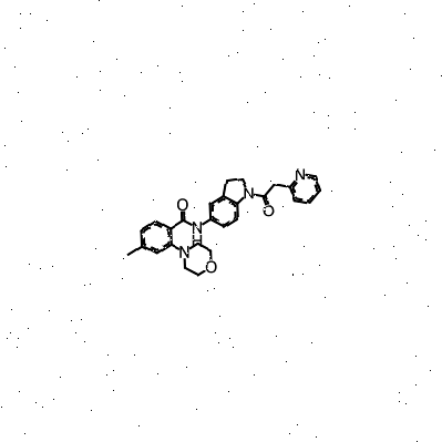 Cc1ccc(C(=O)Nc2ccc3c(c2)CCN3C(=O)Cc2ccccn2)c(N2CCOCC2)c1